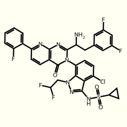 NC(Cc1cc(F)cc(F)c1)c1nc2nc(-c3ccccc3F)ccc2c(=O)n1-c1ccc(Cl)c2c(NS(=O)(=O)C3CC3)nn(CC(F)F)c12